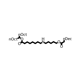 CCCCCCCCCCCC(=O)OCCCCCNCCCCCCCC(=O)OC(CCCCCCCC)CCCCCCCC